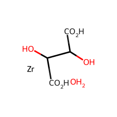 O.O=C(O)C(O)C(O)C(=O)O.[Zr]